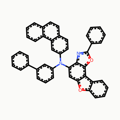 c1ccc(-c2cccc(N(c3ccc4ccc5ccccc5c4c3)c3cc4oc5ccccc5c4c4oc(-c5ccccc5)nc34)c2)cc1